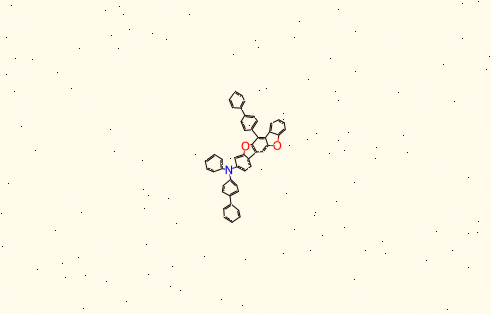 c1ccc(-c2ccc(-c3c4oc5cc(N(c6ccccc6)c6ccc(-c7ccccc7)cc6)ccc5c4cc4oc5ccccc5c34)cc2)cc1